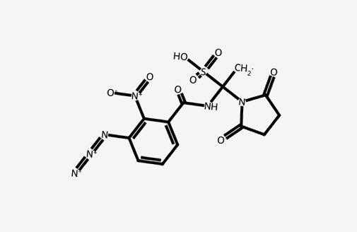 [CH2]C(NC(=O)c1cccc(N=[N+]=[N-])c1[N+](=O)[O-])(N1C(=O)CCC1=O)S(=O)(=O)O